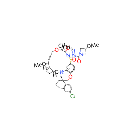 COC1CN(C(=O)N[S@@]2(=O)=NC(=O)C(C)(C)OC/C=C/[C@H](OC)[C@@H]3CC[C@H]3CN3C[C@@]4(CCCc5cc(Cl)ccc54)COc4ccc2cc43)C1